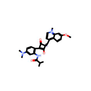 COc1ccc2c(/C=C3\C(=O)C(c4ccc(N(C)C)cc4NC(=O)C(C)C)=C3[O-])cc[n+](C)c2c1